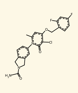 Cc1cc(OCc2ccc(F)cc2F)c(Cl)c(=O)n1-c1ccc2c(c1)CN(C(N)=O)C2